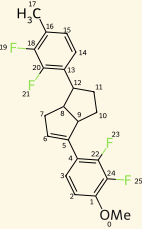 COc1ccc(C2=CCC3C2CCC3c2ccc(C)c(F)c2F)c(F)c1F